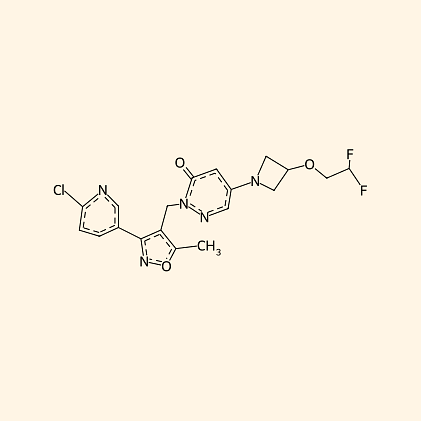 Cc1onc(-c2ccc(Cl)nc2)c1Cn1ncc(N2CC(OCC(F)F)C2)cc1=O